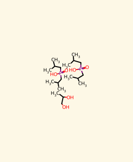 CC(C)CP(=O)(O)CC(C)C.CC(C)CP(=O)(O)CC(C)C.CC(O)CO